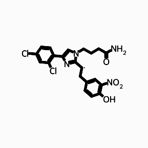 NC(=O)CCCn1cc(-c2ccc(Cl)cc2Cl)nc1[CH]Cc1ccc(O)c([N+](=O)[O-])c1